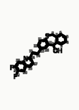 OC1c2ccccc2CSc2ccc(C=Cc3ccc4cc(F)c(F)cc4n3)cc21